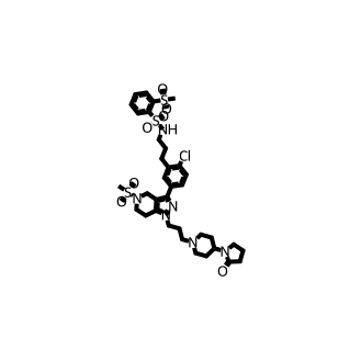 CS(=O)(=O)c1ccccc1S(=O)(=O)NCCCc1cc(-c2nn(CCCN3CCC(N4CCCC4=O)CC3)c3c2CN(S(C)(=O)=O)CC3)ccc1Cl